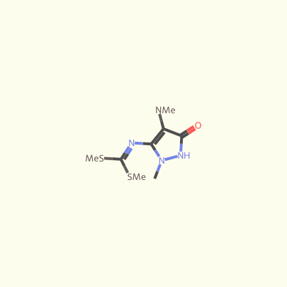 CNc1c(N=C(SC)SC)n(C)[nH]c1=O